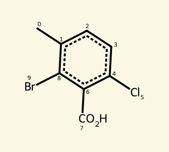 Cc1ccc(Cl)c(C(=O)O)c1Br